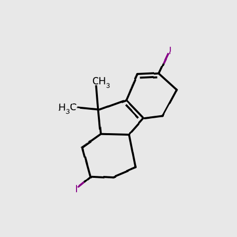 CC1(C)C2=C(CCC(I)=C2)C2CCC(I)CC21